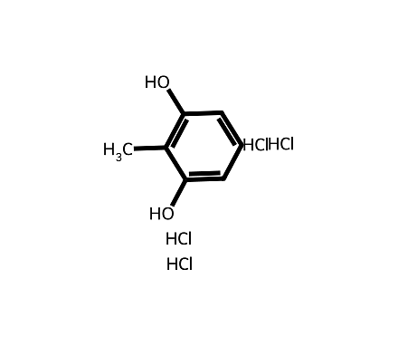 Cc1c(O)cccc1O.Cl.Cl.Cl.Cl